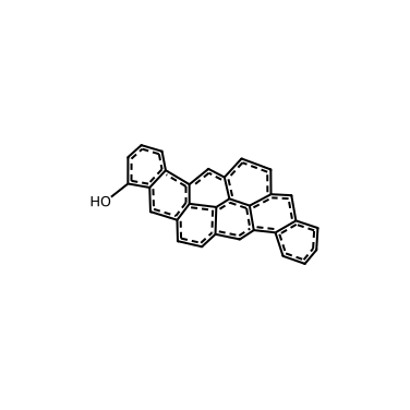 Oc1cccc2c1cc1ccc3cc4c5ccccc5cc5ccc6cc2c1c3c6c54